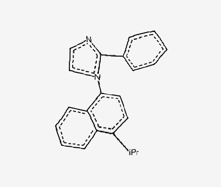 CC(C)c1ccc(-n2ccnc2-c2ccccc2)c2ccccc12